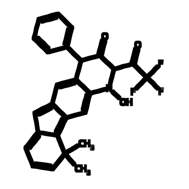 CC1(C)C=CC=C2C=c3cc4c(cc3=C21)N(O)C(C(=O)C(F)(F)F)C(=O)C4c1ccccc1